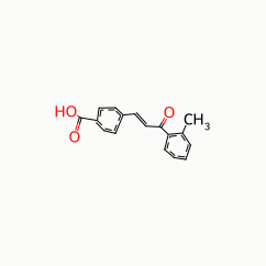 Cc1ccccc1C(=O)C=Cc1ccc(C(=O)O)cc1